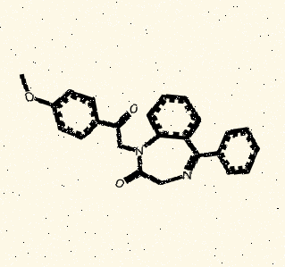 COc1ccc(C(=O)CN2C(=O)CN=C(c3ccccc3)c3ccccc32)cc1